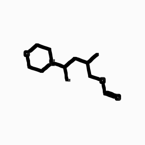 [CH2]C(CC(C)COC=O)N1CCOCC1